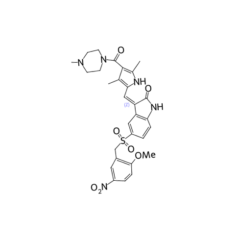 COc1ccc([N+](=O)[O-])cc1CS(=O)(=O)c1ccc2c(c1)/C(=C/c1[nH]c(C)c(C(=O)N3CCN(C)CC3)c1C)C(=O)N2